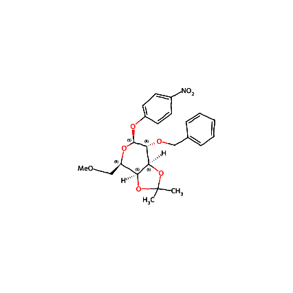 COC[C@H]1O[C@@H](Oc2ccc([N+](=O)[O-])cc2)[C@H](OCc2ccccc2)[C@H]2OC(C)(C)O[C@H]21